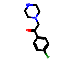 O=C(CN1CCNCC1)c1ccc(Br)cc1